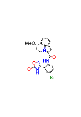 COC1CCn2c(C(=O)Nc3ccc(Br)cc3-c3noc(=O)[nH]3)cc3cccc1c32